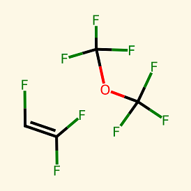 FC(F)(F)OC(F)(F)F.FC=C(F)F